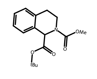 COC(=O)N1CCc2ccccc2C1C(=O)OC(C)(C)C